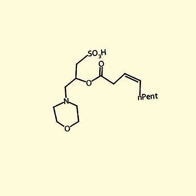 CCCCC/C=C\CC(=O)OC(CN1CCOCC1)CS(=O)(=O)O